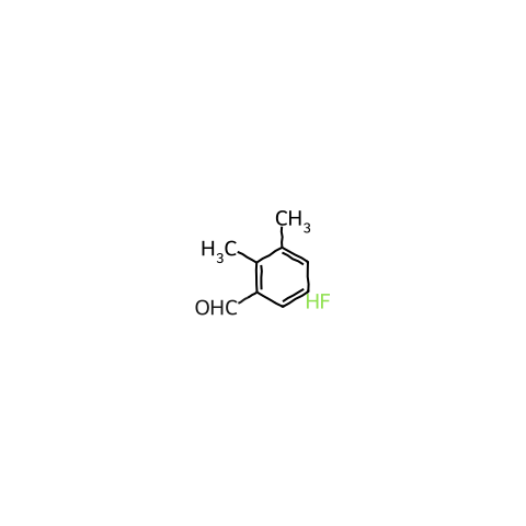 Cc1cccc(C=O)c1C.F